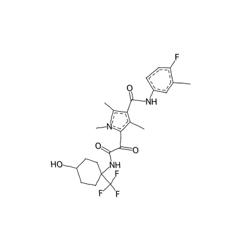 Cc1cc(NC(=O)c2c(C)c(C(=O)C(=O)NC3(C(F)(F)F)CCC(O)CC3)n(C)c2C)ccc1F